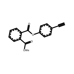 C#Cc1ccc(OC(=O)c2ccccc2C(=O)OC)cc1